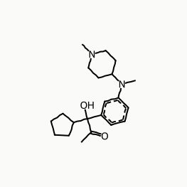 CC(=O)C(O)(c1cccc(N(C)C2CCN(C)CC2)c1)C1CCCC1